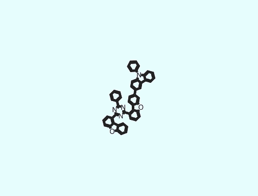 c1ccc(-c2nc(-c3cccc4oc5ccccc5c34)nc(-c3cccc4oc5cc(-c6ccc7c(c6)c6ccccc6n7-c6ccccc6)ccc5c34)n2)cc1